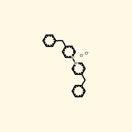 [Cl-].[Cl-].c1ccc(Cc2cc[n+](-[n+]3ccc(Cc4ccccc4)cc3)cc2)cc1